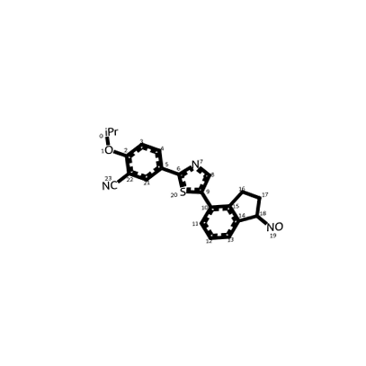 CC(C)Oc1ccc(-c2ncc(-c3cccc4c3CCC4N=O)s2)cc1C#N